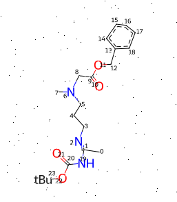 C/C(=N\CCCN(C)CC(=O)OCc1ccccc1)NC(=O)OC(C)(C)C